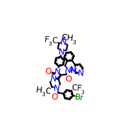 C[C@H]1Cn2c(c(C(=O)NCc3ccccc3-c3ccncn3)n(-c3ccc(N4CCN(C)[C@H](C(F)(F)F)C4)cc3)c2=O)CN1C(=O)c1ccc(Br)c(C(F)(F)F)c1